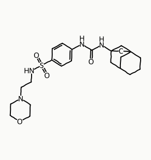 O=C(Nc1ccc(S(=O)(=O)NCCN2CCOCC2)cc1)NC12CC3CCCC(C3)(C1)C2